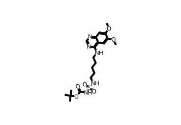 COc1cc2ncnc(NCCCCCNS(=O)(=O)NC(=O)OC(C)(C)C)c2cc1OC